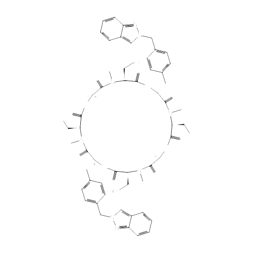 CC(C)C[C@H]1C(=O)O[C@H](Cc2ccc(Cn3cc4ccccc4n3)cc2)C(=O)N(C)[C@@H](CC(C)C)C(=O)O[C@H](C)C(=O)N(C)[C@@H](CC(C)C)C(=O)O[C@H](Cc2ccc(Cn3cc4ccccc4n3)cc2)C(=O)N(C)[C@@H](CC(C)C)C(=O)O[C@H](C)C(=O)N1C